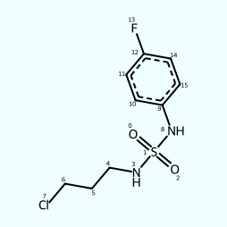 O=S(=O)(NCCCCl)Nc1ccc(F)cc1